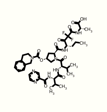 CCC[C@H](NC(=O)[C@@H]1C[C@@H](OC(=O)N2CCc3ccccc3C2)CN1C(=O)[C@@H](NC(=O)[C@@H](NC(=O)c1cnccn1)C(C)C)C(C)C)C(=O)C(F)(F)C(=O)N[C@@H](C)C(=O)O